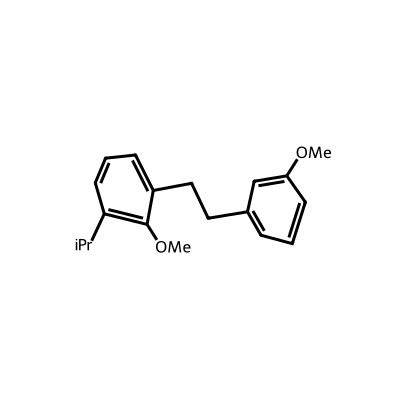 COc1cccc(CCc2cccc(C(C)C)c2OC)c1